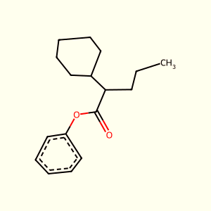 CCCC(C(=O)Oc1ccccc1)C1CCCCC1